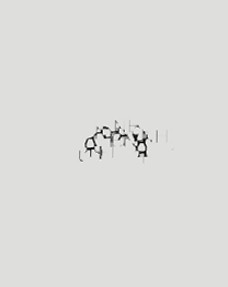 CCOc1ccc(CN2CCC(C(N)C(=O)CNC(=O)c3cc(F)c(F)cc3N)CC2)cc1OCC